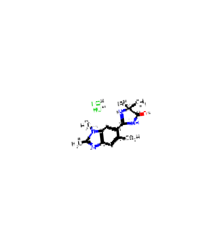 Cc1nc2cc(C(=O)O)c(C3=NC(C)(C(C)C)C(=O)N3)cc2n1C.Cl.Cl